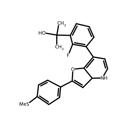 CSc1ccc(C2=CC3NC=CC(c4cccc(C(C)(C)O)c4F)=C3O2)cc1